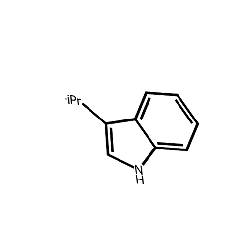 C[C](C)c1c[nH]c2ccccc12